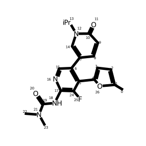 Cc1ccc(-c2c(-c3ccc(=O)n(C(C)C)c3)cnc(NC(=O)N(C)C)c2F)o1